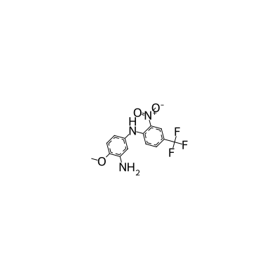 COc1ccc(Nc2ccc(C(F)(F)F)cc2[N+](=O)[O-])cc1N